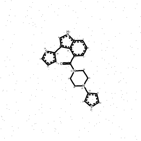 O=C(c1cccc2[nH]cc(-c3cccs3)c12)N1CCN(c2ccsc2)CC1